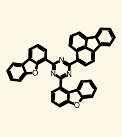 c1ccc2c(c1)-c1cccc3c(-c4nc(-c5cccc6c5oc5ccccc56)nc(-c5cccc6oc7ccccc7c56)n4)ccc-2c13